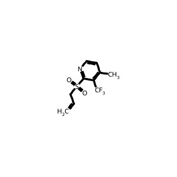 C=CCS(=O)(=O)c1nccc(C)c1C(F)(F)F